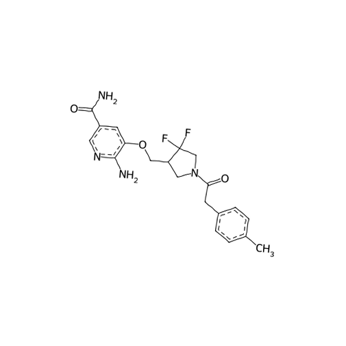 Cc1ccc(CC(=O)N2CC(COc3cc(C(N)=O)cnc3N)C(F)(F)C2)cc1